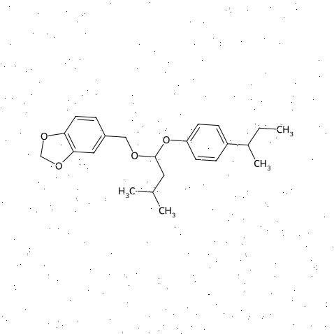 CCC(C)c1ccc(OC(CC(C)C)OCc2ccc3c(c2)OCO3)cc1